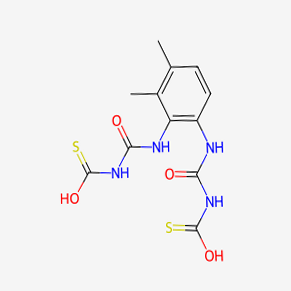 Cc1ccc(NC(=O)NC(O)=S)c(NC(=O)NC(O)=S)c1C